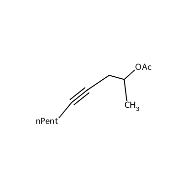 CCCCCC#CCC(C)OC(C)=O